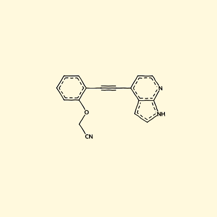 N#CCOc1ccccc1C#Cc1ccnc2[nH]ccc12